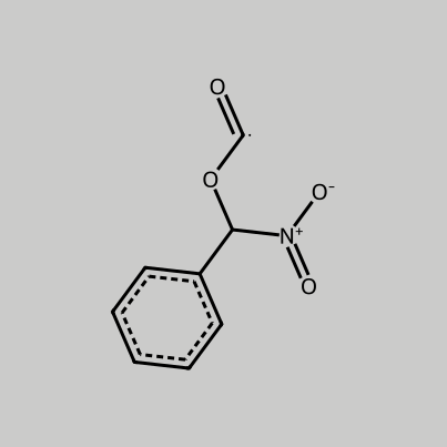 O=[C]OC(c1ccccc1)[N+](=O)[O-]